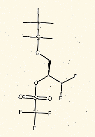 CC(C)(C)[Si](C)(C)OC[C@H](OS(=O)(=O)C(F)(F)F)C(F)F